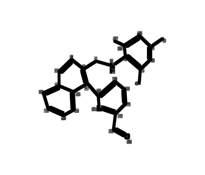 Cc1cc(C)c(NCc2ccc3ccccc3c2-c2cccc(C=O)n2)c(C)c1